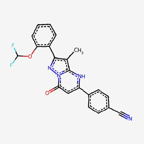 Cc1c(-c2ccccc2OC(F)F)nn2c(=O)cc(-c3ccc(C#N)cc3)[nH]c12